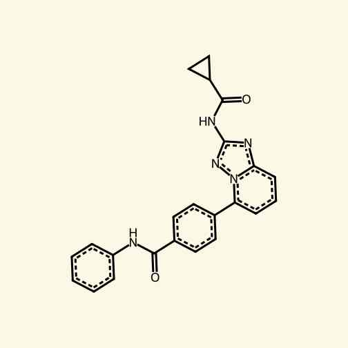 O=C(Nc1ccccc1)c1ccc(-c2cccc3nc(NC(=O)C4CC4)nn23)cc1